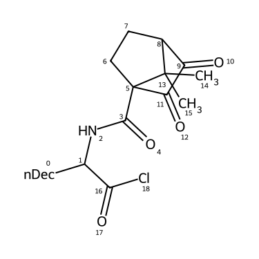 CCCCCCCCCCC(NC(=O)C12CCC(C(=O)C1=O)C2(C)C)C(=O)Cl